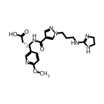 COc1ccc([C@H](CC(=O)O)NC(=O)c2cnn(CCCNC3=NCCN3)c2)cn1